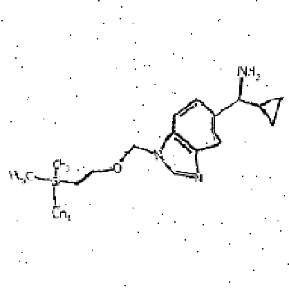 C[Si](C)(C)CCOCn1cnc2cc(C(N)C3CC3)ccc21